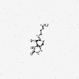 O=CCCCOc1ncc2c(c1Br)NC(=O)CC2